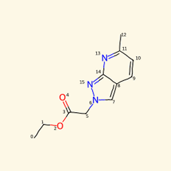 CCOC(=O)Cn1cc2ccc(C)nc2n1